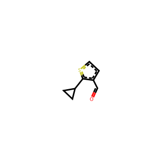 O=Cc1ccsc1C1CC1